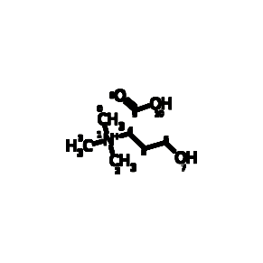 C[N+](C)(C)CCCO.O=CO